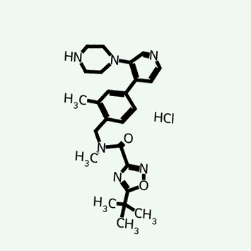 Cc1cc(-c2ccncc2N2CCNCC2)ccc1CN(C)C(=O)c1noc(C(C)(C)C)n1.Cl